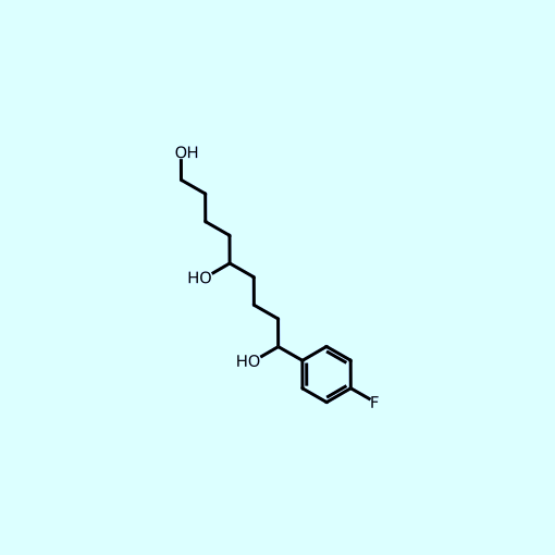 OCCCCC(O)CCCC(O)c1ccc(F)cc1